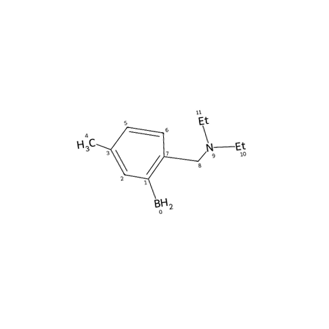 Bc1cc(C)ccc1CN(CC)CC